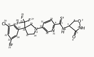 O=C1NOCC1NC(=S)c1ccc(N2CCC(c3cc(Cl)cc(Br)c3)(C(F)(F)F)C2)cn1